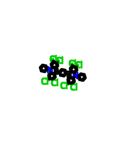 Clc1cc2c(cc1Cl)N(c1ccccc1)c1cc(Cl)c(Cl)cc1B2c1ccc(B2c3cc(Cl)c(Cl)cc3N(c3ccccc3)c3cc(Cl)c(Cl)cc32)cc1